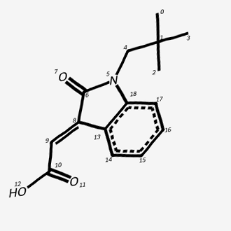 CC(C)(C)CN1C(=O)/C(=C/C(=O)O)c2ccccc21